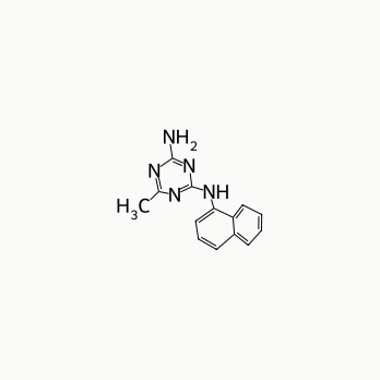 Cc1nc(N)nc(Nc2cccc3ccccc23)n1